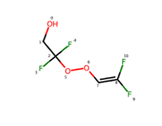 OCC(F)(F)OOC=C(F)F